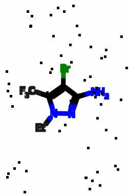 CCn1nc(N)c(Br)c1C(F)(F)F